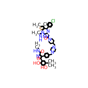 CCNC(=O)c1noc(-c2cc(C(C)C)c(O)cc2O)c1-c1ccc(CN2CCN(CC3CCN(C(=O)C[C@@H]4N=C(c5ccc(Cl)cc5)c5c(sc(C)c5C)N(C(C)=N)C4=N)CC3)CC2)cc1